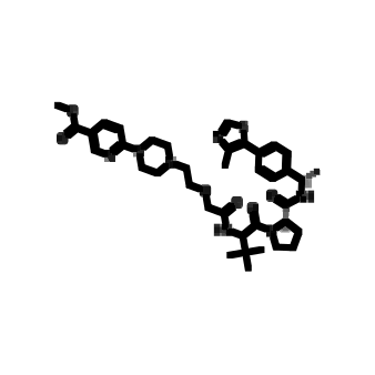 COC(=O)c1ccc(N2CCN(CCOCC(=O)NC(C(=O)N3CCC[C@H]3C(=O)N[C@@H](C)c3ccc(-c4scnc4C)cc3)C(C)(C)C)CC2)nc1